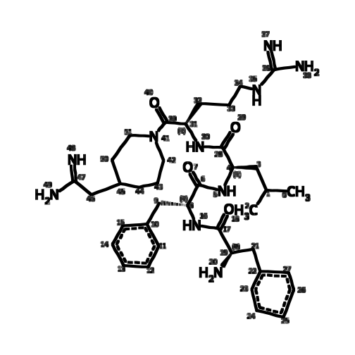 CC(C)C[C@@H](NC(=O)[C@@H](Cc1ccccc1)NC(=O)[C@H](N)Cc1ccccc1)C(=O)N[C@H](CCCNC(=N)N)C(=O)N1CCCC(CC(=N)N)CC1